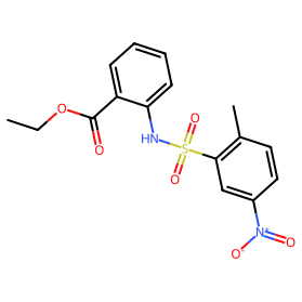 CCOC(=O)c1ccccc1NS(=O)(=O)c1cc([N+](=O)[O-])ccc1C